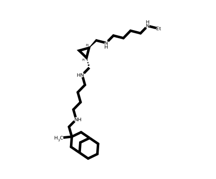 CCNCCCCNC[C@@H]1C[C@H]1CNCCCCNCC1(C)CC2CCCC(C2)C1